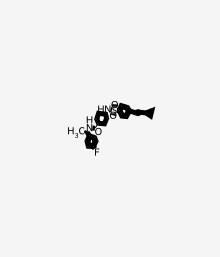 C[C@@H](NC(=O)[C@H]1CC[C@H](NS(=O)(=O)c2ccc(C#CC3CC3)cc2)CC1)c1ccc(F)cc1